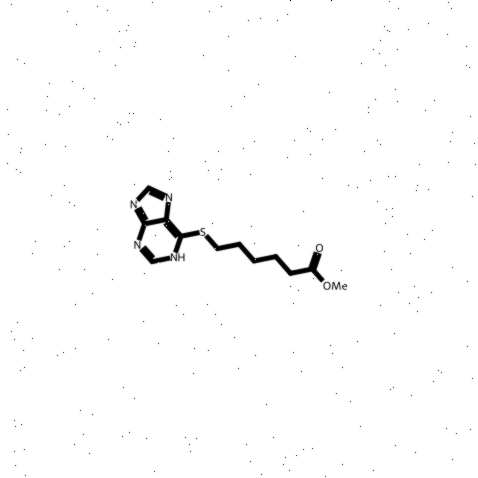 COC(=O)CCCCCSc1[nH]cnc2ncnc1-2